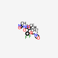 Cc1nocc1NC(=O)C1OC(C)(C(F)(F)F)C(C)C1c1ccc(F)c(F)c1OCCN1CCOCC1